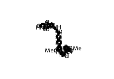 COc1cc(N2CCC(N3CCN(C(=O)CCCNc4ccc5c(c4)C(=O)N(C4CCC(=O)NC4=O)C5=O)CC3)CC2)ccc1Nc1ncc(Cl)c(Nc2ccccc2P(=O)(OC)OC)n1